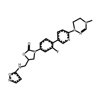 CN1C=NN(c2ccc(-c3ccc(N4CC(CNc5ccno5)OC4=O)cc3F)cn2)CC1